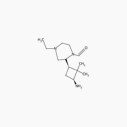 CCN1CCN(C=O)C([C@@H]2C[C@H](N)C2(C)C)C1